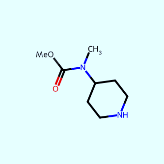 COC(=O)N(C)C1CCNCC1